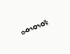 CS(=O)(=O)c1ccc(N=Nc2ccc(N=Nc3ccc(N4CCCC4)cc3)cc2)cc1